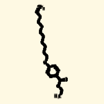 C=CCCCCCCCCCOc1ccc(C(=O)OCC)cc1